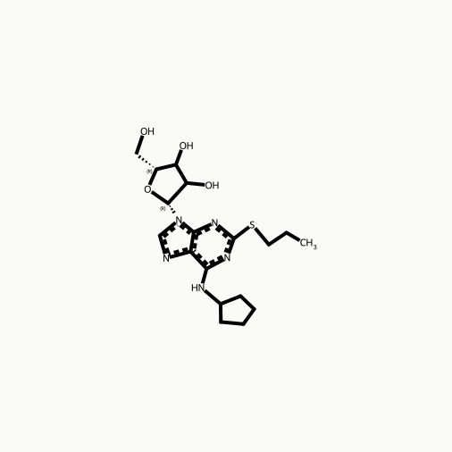 CCCSc1nc(NC2CCCC2)c2ncn([C@@H]3O[C@H](CO)C(O)C3O)c2n1